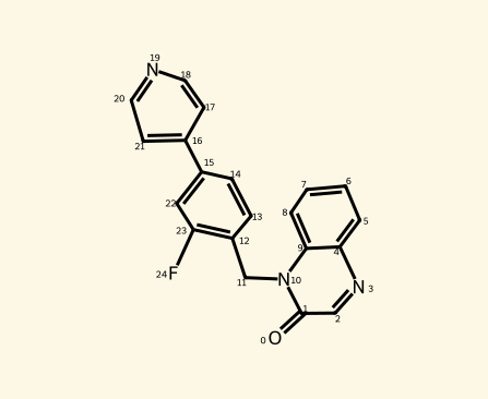 O=c1cnc2ccccc2n1Cc1ccc(-c2ccncc2)cc1F